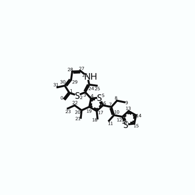 C=C1S/C(c2sc(/C(CC)=C(\C)c3cccs3)c(C)c2C(C)CC)=C(/C)N/C=C\C=C\1C